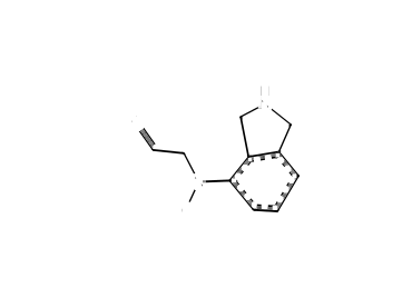 C=CCN(C)c1cccc2c1CNC2